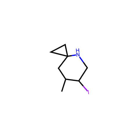 CC1CC2(CC2)NCC1I